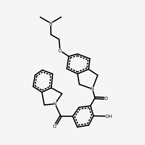 CN(C)CCOc1ccc2c(c1)CN(C(=O)c1cc(C(=O)N3Cc4ccccc4C3)ccc1O)C2